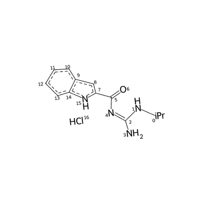 CC(C)NC(N)=NC(=O)c1cc2ccccc2[nH]1.Cl